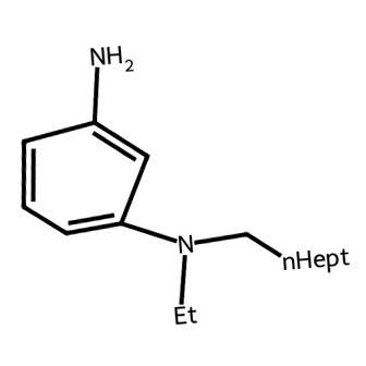 CCCCCCCCN(CC)c1cccc(N)c1